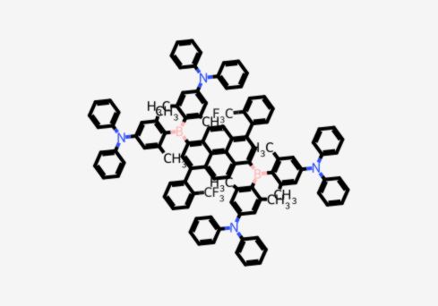 Cc1cc(N(c2ccccc2)c2ccccc2)cc(C)c1B(c1c(C)cc(N(c2ccccc2)c2ccccc2)cc1C)c1cc(-c2ccccc2C(F)(F)F)c2ccc3c(B(c4c(C)cc(N(c5ccccc5)c5ccccc5)cc4C)c4c(C)cc(N(c5ccccc5)c5ccccc5)cc4C)cc(-c4ccccc4C(F)(F)F)c4ccc1c2c34